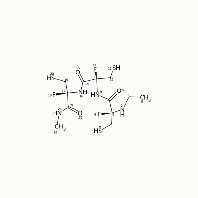 CCN[C@](F)(CS)C(=O)N[C@@](F)(CS)C(=O)N[C@@](F)(CS)C(=O)NC